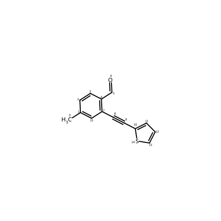 Cc1ccc(C=O)c(C#Cc2cccs2)c1